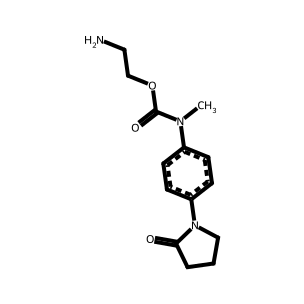 CN(C(=O)OCCN)c1ccc(N2CCCC2=O)cc1